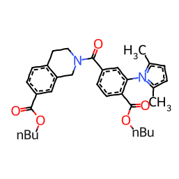 CCCCOC(=O)c1ccc2c(c1)CN(C(=O)c1ccc(C(=O)OCCCC)c(-n3c(C)ccc3C)c1)CC2